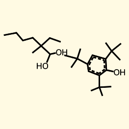 CC(C)(C)c1cc(C(C)(C)C)c(O)c(C(C)(C)C)c1.CCCCC(C)(CC)C(O)O